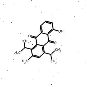 CC(C)c1cc(N)c(C(C)C)c2c1C(=O)c1c(O)cccc1C2=O